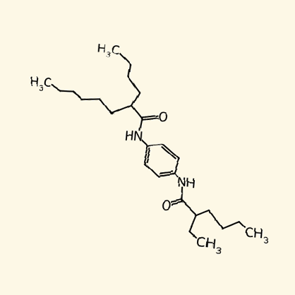 CCCCCCC(CCCC)C(=O)Nc1ccc(NC(=O)C(CC)CCCC)cc1